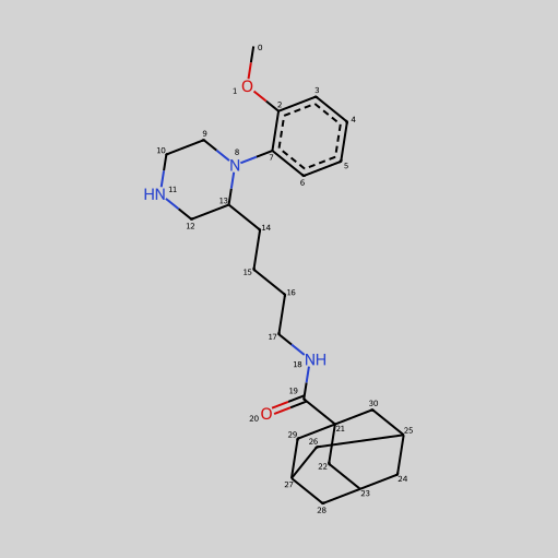 COc1ccccc1N1CCNCC1CCCCNC(=O)C12CC3CC(CC(C3)C1)C2